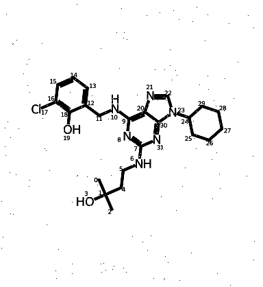 CC(C)(O)CCNc1nc(NCc2cccc(Cl)c2O)c2ncn(C3CCCCC3)c2n1